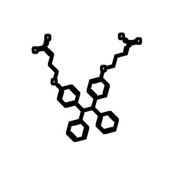 O=S(=O)=CCCOc1ccc(C(c2ccccc2)C(c2ccccc2)c2ccc(OCCC=S(=O)=O)cc2)cc1